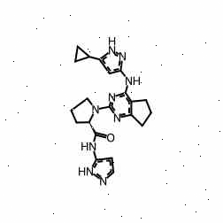 O=C(Nc1ccn[nH]1)[C@H]1CCCN1c1nc2c(c(Nc3cc(C4CC4)[nH]n3)n1)CCC2